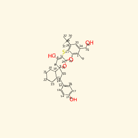 Cc1cc(SC2=C(O)CC(CCc3ccc(O)cc3)(C3CCCCC3)OC2=O)c(C(C)(C)C)cc1CO